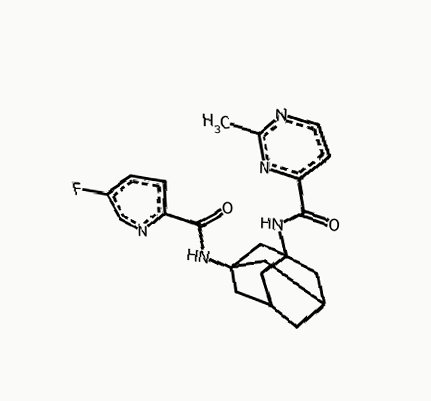 Cc1nccc(C(=O)NC23CC4CC(CC(NC(=O)c5ccc(F)cn5)(C4)C2)C3)n1